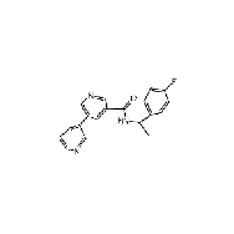 CC(NC(=O)c1cncc(-c2cccnc2)c1)c1ccc(F)cc1